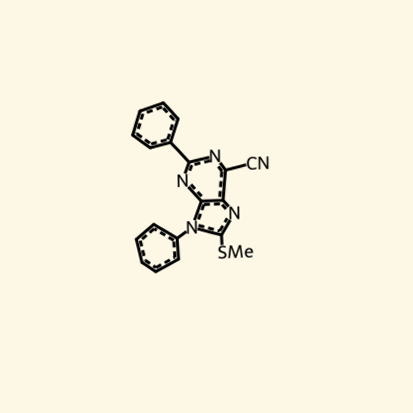 CSc1nc2c(C#N)nc(-c3ccccc3)nc2n1-c1ccccc1